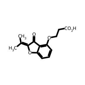 CC(C)=C1Oc2cccc(OCCC(=O)O)c2C1=O